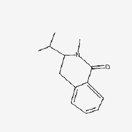 CC(C)C1Cc2ccccc2C(=O)N1C